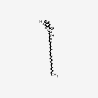 CCCCCCCCCCC=CC=CC=CC=CC=CC=CNCCOC(=O)c1ccc(C)cc1